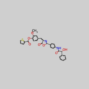 COc1cc(/C=C2/N=C(c3ccc(NC(=O)C(O)c4ccccc4)cc3)OC2=O)ccc1OC(=O)c1cccs1